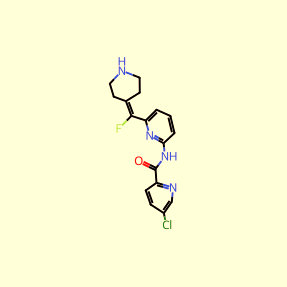 O=C(Nc1cccc(C(F)=C2CCNCC2)n1)c1ccc(Cl)cn1